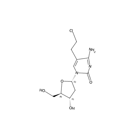 Nc1nc(=O)n([C@@H]2C[C@H](O)[C@@H](CO)O2)cc1CCCl